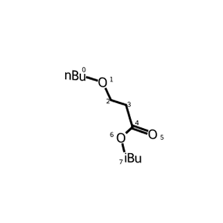 CCCCOCCC(=O)OC(C)CC